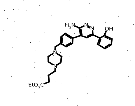 CCOC(=O)CCCN1CCN(Cc2ccc(-c3cc(-c4ccccc4O)nnc3N)cc2)CC1